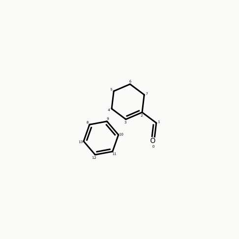 O=CC1=CCCCC1.c1ccccc1